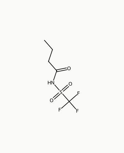 CCCC(=O)NS(=O)(=O)C(F)(F)F